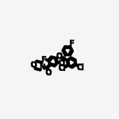 O=C(c1cc2c(cc1F)O[C@@](c1ccc(F)cc1)(c1ccc(Cl)cc1Cl)O2)N1CCOCC1